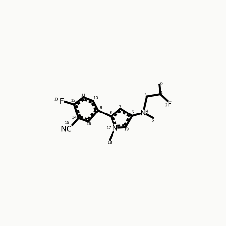 CC(F)CN(C)c1cc(-c2ccc(F)c(C#N)c2)n(C)c1